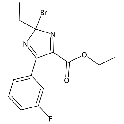 CCOC(=O)C1=NC(Br)(CC)N=C1c1cccc(F)c1